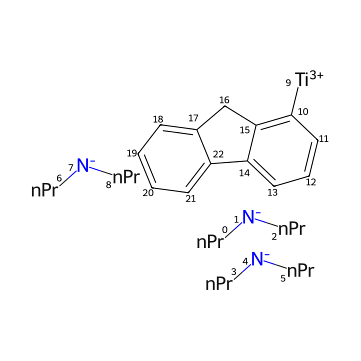 CCC[N-]CCC.CCC[N-]CCC.CCC[N-]CCC.[Ti+3][c]1cccc2c1Cc1ccccc1-2